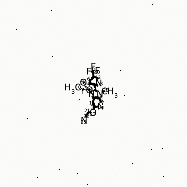 CCS(=O)(=O)c1cc(C(F)(F)F)cnc1-c1nc2cc(OCC#N)ncc2n1C